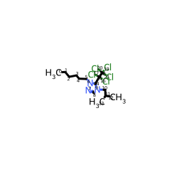 CCCCCCN1N=CN(CC(C)C)C1C(Cl)(Cl)C(Cl)(Cl)Cl